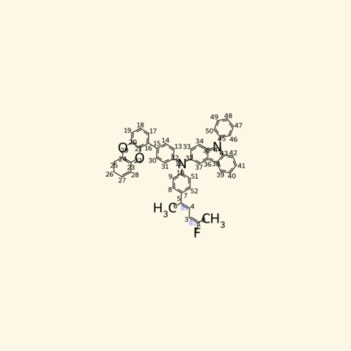 C/C(F)=C\C=C(/C)c1ccc(N(c2ccc(-c3cccc4c3OC3=C(CCC=C3)O4)cc2)c2ccc3c(c2)c2ccccc2n3-c2ccccc2)cc1